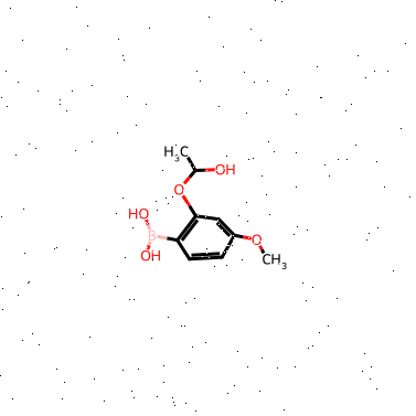 COc1ccc(B(O)O)c(OC(C)O)c1